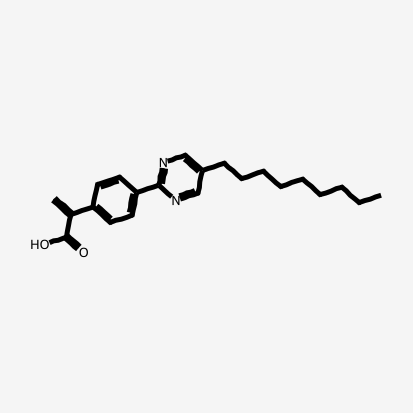 C=C(C(=O)O)c1ccc(-c2ncc(CCCCCCCCC)cn2)cc1